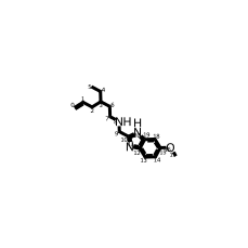 C=CCC(CC)CCNCc1nc2ccc(OC)cc2[nH]1